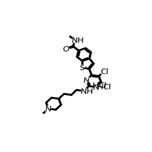 CNC(=O)c1ccc2cc(-c3nc(NCCCC4CCN(C)CC4)ncc3Cl)sc2c1.Cl.Cl